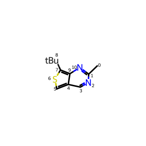 Cc1ncc2csc(C(C)(C)C)c2n1